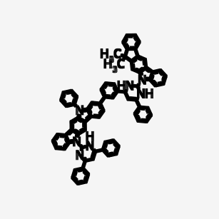 CC1(C)c2ccccc2-c2cc3c4ccccc4n(C4NC(c5ccccc5)=CC(c5cccc(-c6ccc7c8cc9c(cc8n(-c8ccccc8)c7c6)c6ccccc6n9C6N=C(c7ccccc7)C=C(c7ccccc7)N6)c5)N4)c3cc21